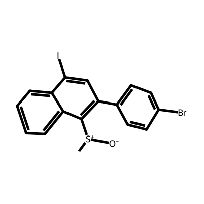 C[S+]([O-])c1c(-c2ccc(Br)cc2)cc(I)c2ccccc12